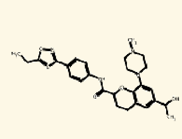 CCc1nc(-c2ccc(NC(=O)C3CCc4cc(C(C)O)cc(N5CCN(C)CC5)c4O3)cc2)no1